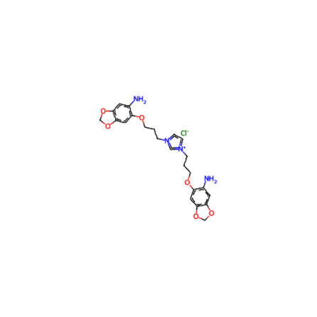 Nc1cc2c(cc1OCCCn1cc[n+](CCCOc3cc4c(cc3N)OCO4)c1)OCO2.[Cl-]